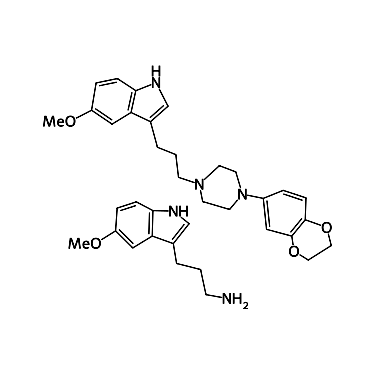 COc1ccc2[nH]cc(CCCN)c2c1.COc1ccc2[nH]cc(CCCN3CCN(c4ccc5c(c4)OCCO5)CC3)c2c1